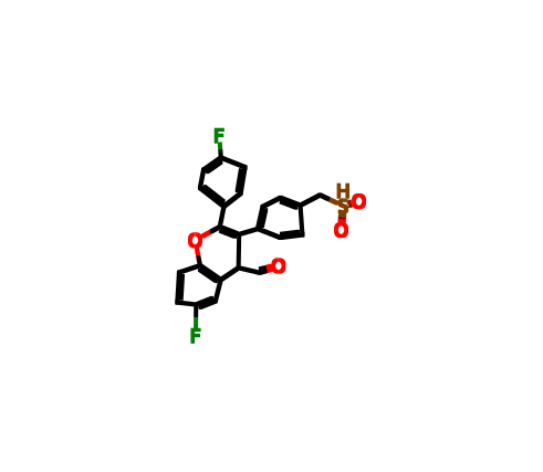 O=CC1C(c2ccc(C[SH](=O)=O)cc2)=C(c2ccc(F)cc2)Oc2ccc(F)cc21